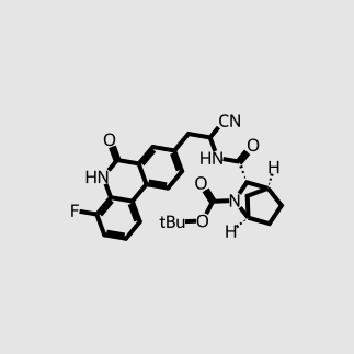 CC(C)(C)OC(=O)N1[C@@H]2CC[C@@H](C2)[C@H]1C(=O)NC(C#N)Cc1ccc2c(c1)c(=O)[nH]c1c(F)cccc12